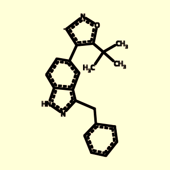 CC(C)(C)c1on[c]c1-c1ccc2[nH]nc(Cc3ccccc3)c2c1